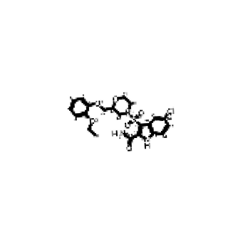 CCOc1ccccc1OCC1CN(S(=O)(=O)c2c(C(N)=O)[nH]c3ccc(Cl)cc23)CCO1